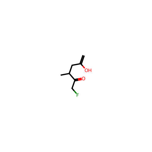 C=C(O)CC(C)C(=O)CF